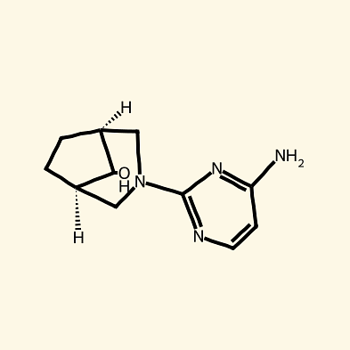 Nc1ccnc(N2C[C@H]3CC[C@@H](C2)C3O)n1